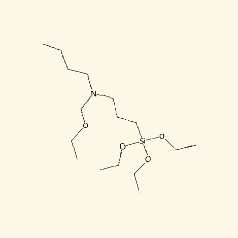 CCCCN(CCC[Si](OCC)(OCC)OCC)COCC